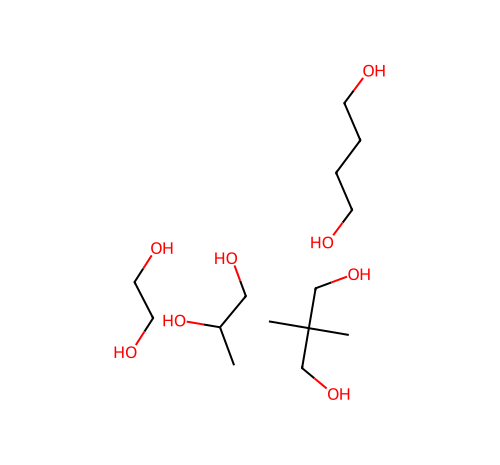 CC(C)(CO)CO.CC(O)CO.OCCCCO.OCCO